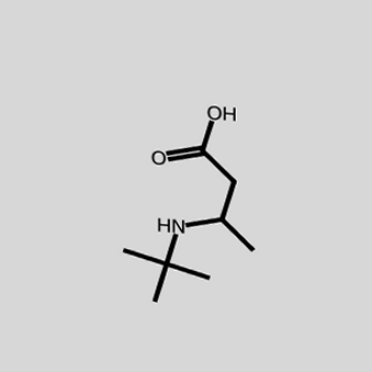 CC(CC(=O)O)NC(C)(C)C